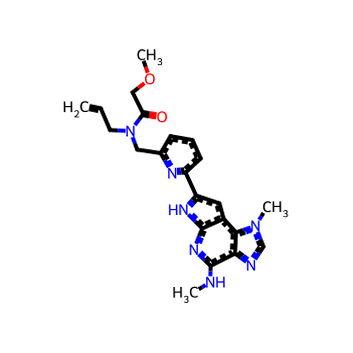 C=CCN(Cc1cccc(-c2cc3c(nc(NC)c4ncn(C)c43)[nH]2)n1)C(=O)COC